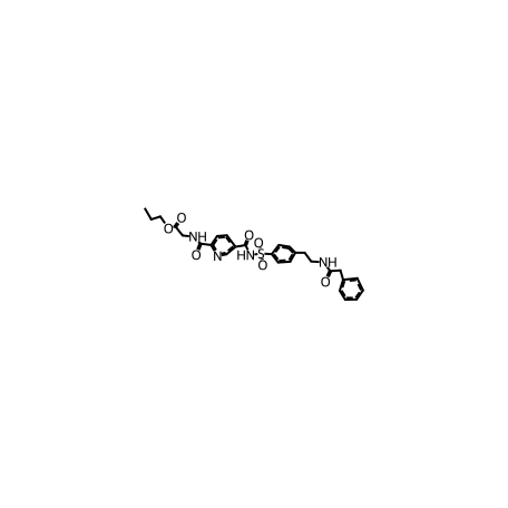 CCCOC(=O)CNC(=O)c1ccc(C(=O)NS(=O)(=O)c2ccc(CCNC(=O)Cc3ccccc3)cc2)cn1